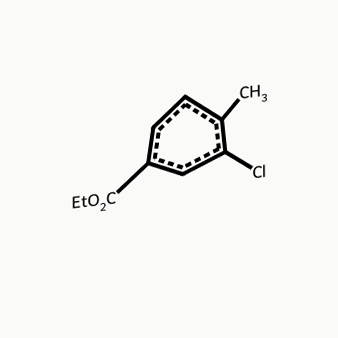 CCOC(=O)c1ccc(C)c(Cl)c1